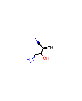 C=C(C#N)C(O)CN